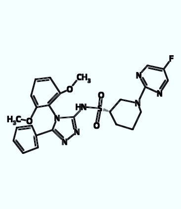 COc1cccc(OC)c1-n1c(NS(=O)(=O)[C@H]2CCCN(c3ncc(F)cn3)C2)nnc1-c1ccccc1